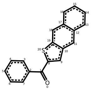 O=C(c1ccccc1)c1cc2cc3ccccc3cc2s1